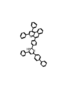 C1=C(c2ccccc2)NC(c2ccc(-c3cc4ccccc4c4c(-c5ccccc5)cc(-c5ccccc5)nc34)cc2)N=C1c1ccc(-c2ccccc2)cc1